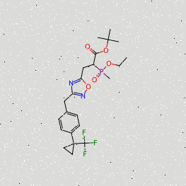 CCOP(C)(=O)C(Cc1nc(Cc2ccc(C3(C(F)(F)F)CC3)cc2)no1)C(=O)OC(C)(C)C